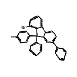 Cc1ccc(C2(c3ccccc3)c3cc(-c4ccccc4)ccc3-c3cccc(Br)c32)cc1